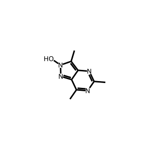 Cc1nc(C)c2nn(O)c(C)c2n1